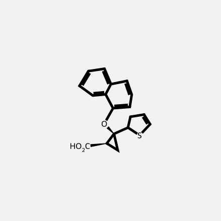 O=C(O)[C@@H]1C[C@@]1(Oc1cccc2ccccc12)C1CC=CS1